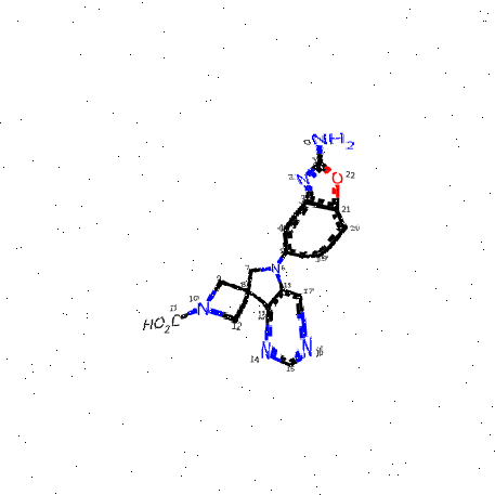 Nc1nc2cc(N3CC4(CN(C(=O)O)C4)c4ncncc43)ccc2o1